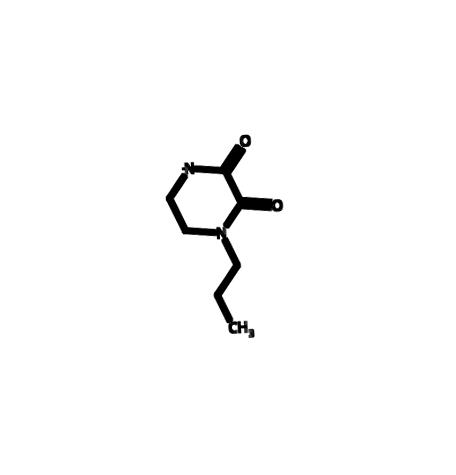 CCCN1CC[N]C(=O)C1=O